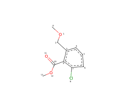 COCc1cccc(Cl)c1C(=O)OC